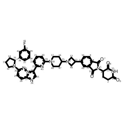 O=C1CCC(N2C(=O)c3ccc(C4CN(C5CCN(c6cccc(-c7cnc8ccc(N9CCC[C@@H]9c9cccc(F)c9)nn78)n6)CC5)C4)cc3C2=O)C(=O)N1